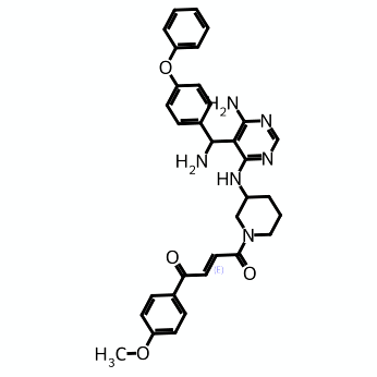 COc1ccc(C(=O)/C=C/C(=O)N2CCCC(Nc3ncnc(N)c3C(N)c3ccc(Oc4ccccc4)cc3)C2)cc1